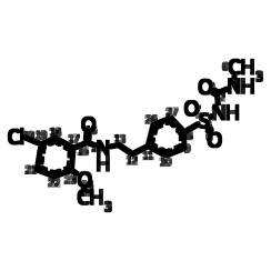 CNC(=O)NS(=O)(=O)c1ccc(CCNC(=O)c2cc(Cl)ccc2OC)cc1